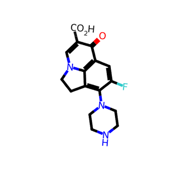 O=C(O)c1cn2c3c(c(N4CCNCC4)c(F)cc3c1=O)CC2